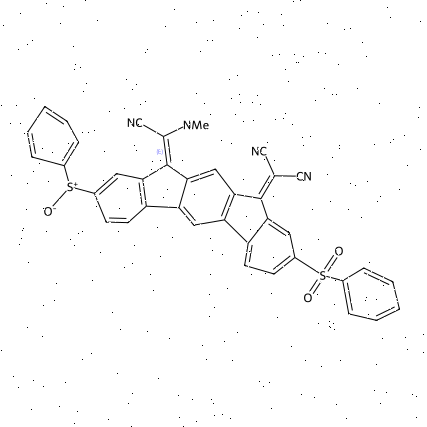 CN/C(C#N)=C1/c2cc([S+]([O-])c3ccccc3)ccc2-c2cc3c(cc21)C(=C(C#N)C#N)c1cc(S(=O)(=O)c2ccccc2)ccc1-3